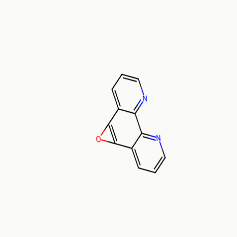 c1cnc2c(c1)c1c(c3cccnc32)O1